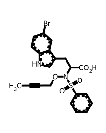 CC#CCON(C(Cc1c[nH]c2ccc(Br)cc12)C(=O)O)S(=O)(=O)c1ccccc1